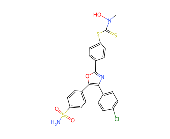 CN(O)C(=S)Sc1ccc(-c2nc(-c3ccc(Cl)cc3)c(-c3ccc(S(N)(=O)=O)cc3)o2)cc1